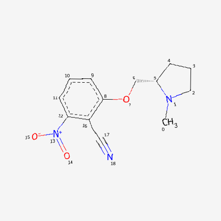 CN1CCC[C@H]1COc1cccc([N+](=O)[O-])c1C#N